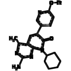 CCOc1ccc(-c2cc3c(C)nc(N)nc3n(C3CCCCC3)c2=O)cn1